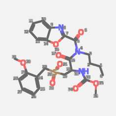 CCCCN(C(=O)c1nc2ccccc2o1)C(=O)C(CS(=O)(=O)Cc1ccccc1OC)NC(=O)OC